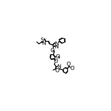 CCc1nc(C=Cc2cn(-c3ccccc3)nc2OCc2cccc(OCc3nc(-c4cccc(C(=O)OC)c4)oc3C)c2OC)cs1